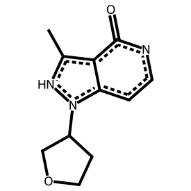 Cc1[nH]n(C2CCOC2)c2ccnc(=O)c1-2